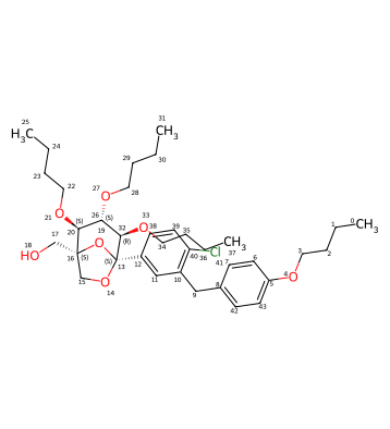 CCCCOc1ccc(Cc2cc([C@]34OC[C@](CO)(O3)[C@@H](OCCCC)[C@H](OCCCC)[C@H]4OCCCC)ccc2Cl)cc1